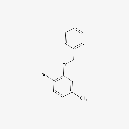 Cc1[c]cc(Br)c(OCc2ccccc2)c1